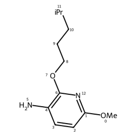 COc1ccc(N)c(OCCCC(C)C)n1